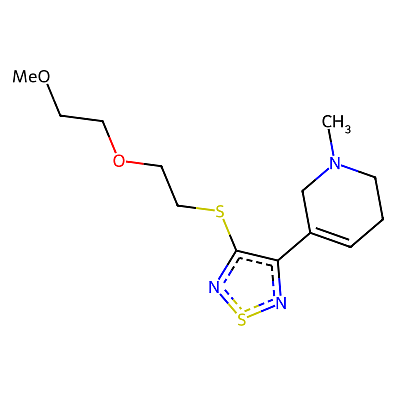 COCCOCCSc1nsnc1C1=CCCN(C)C1